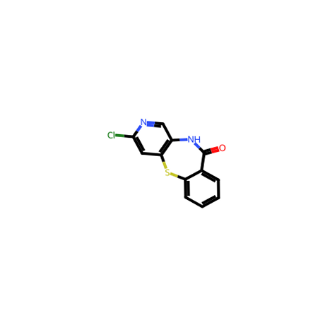 O=C1Nc2cnc(Cl)cc2Sc2ccccc21